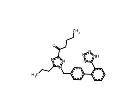 CCCCC(=O)c1nc(CCC)n(Cc2ccc(-c3ccccc3-c3nnn[nH]3)cc2)n1